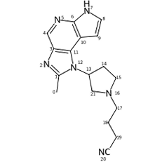 Cc1nc2cnc3[nH]ccc3c2n1C1CCN(CCCC#N)C1